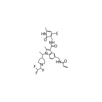 C=CC(=O)NCc1ccc2c(c1)c(C(=O)NCc1c(SC)cc(C)[nH]c1=O)c(C)n2C(C)C1CCN(C(F)C(F)F)CC1